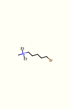 CC[N+](C)(CC)CCCCCBr